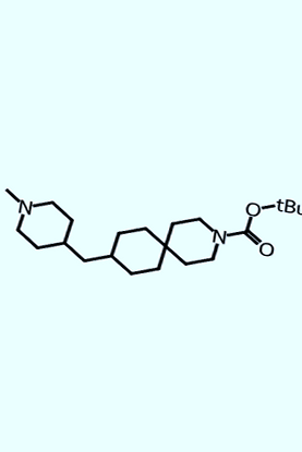 CN1CCC(CC2CCC3(CC2)CCN(C(=O)OC(C)(C)C)CC3)CC1